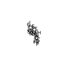 COC1CCC2(c3cc(NC(=O)c4ccc(OC(F)F)cn4)ccc3F)N=C(N)SCC2C1